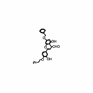 CC(C)CCOc1ccc(C2=CC(C=O)c3c(O)cc(OCc4ccccc4)cc3O2)cc1O